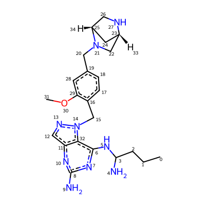 CCCC(N)Nc1nc(N)nc2cnn(Cc3ccc(CN4C[C@@H]5C[C@H]4CN5)cc3OC)c12